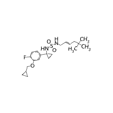 CC(C)(C)C/C=C/CNS(=O)(=O)NC1(c2ccc(F)c(OCC3CC3)c2)CC1